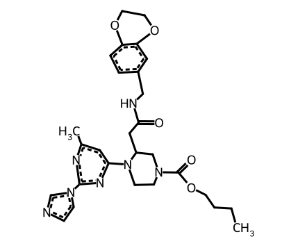 CCCCOC(=O)N1CCN(c2cc(C)nc(-n3ccnc3)n2)C(CC(=O)NCc2ccc3c(c2)OCCO3)C1